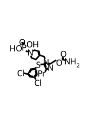 CC(C)c1nc(COC(N)=O)n(CC2=CCN(CP(=O)(O)O)CC2)c1Sc1cc(Cl)cc(Cl)c1